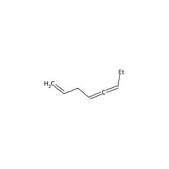 C=CCC=C=CCC